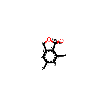 Cc1[c]c(C)c2c(c1)COC2=O